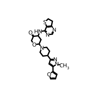 Cn1nc(C2CCN(C3CC(Nc4ncnc5c4SCC5)C(=O)CO3)CC2)cc1-c1ccco1